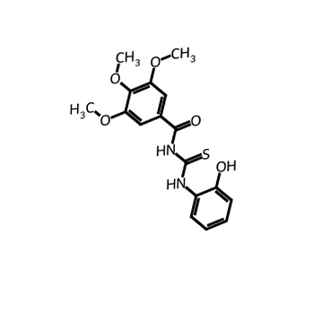 COc1cc(C(=O)NC(=S)Nc2ccccc2O)cc(OC)c1OC